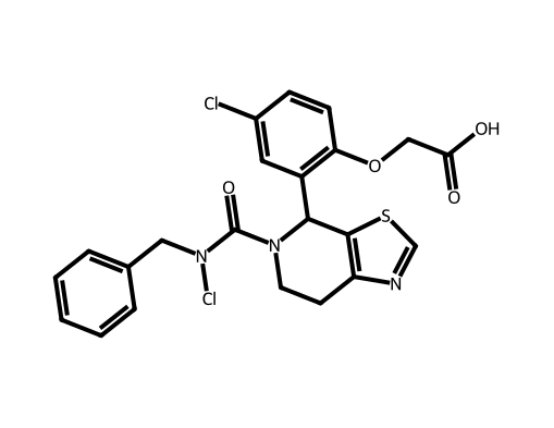 O=C(O)COc1ccc(Cl)cc1C1c2scnc2CCN1C(=O)N(Cl)Cc1ccccc1